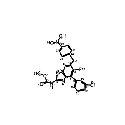 CC(C)(C)OC(=O)Nc1nc2c(-c3cccc(Cl)c3)c(F)c(Cc3ccc(N(O)O)cc3)cc2s1